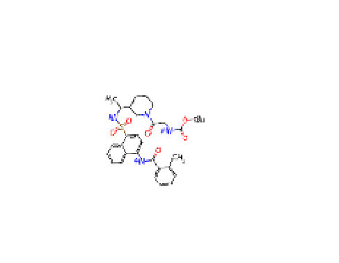 Cc1ccccc1C(=O)Nc1ccc(S(=O)(=O)NC(C)C2CCCN(C(=O)CNC(=O)OC(C)(C)C)C2)c2ccccc12